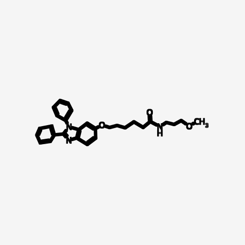 COCCCNC(=O)CCCCCOc1ccc2nc(-c3ccccc3)n(-c3ccccc3)c2c1